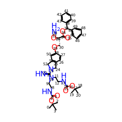 CC(C)(C)OC(=O)NCCN(CCNC(=O)OC(C)(C)C)C(=N)N1Cc2ccc(OC[C@H](ON)C(=O)OC(c3ccccc3)c3ccccc3)cc2C1